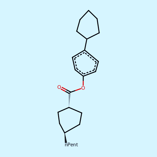 CCCCC[C@H]1CC[C@H](C(=O)Oc2ccc(C3CCCCC3)cc2)CC1